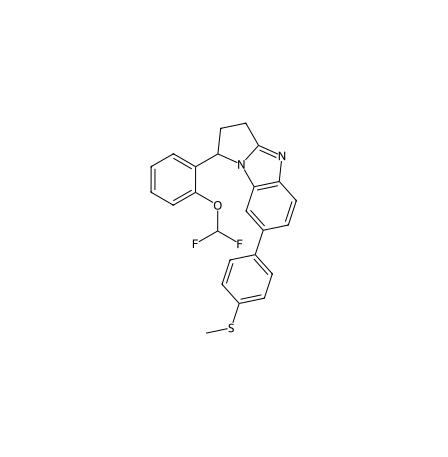 CSc1ccc(-c2ccc3nc4n(c3c2)C(c2ccccc2OC(F)F)CC4)cc1